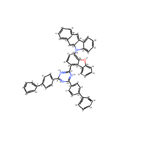 c1ccc(-c2ccc(-c3nc(-c4ccc(-c5ccccc5)cc4)nc(-c4ccc(-n5c6ccccc6c6cc7ccccc7cc65)c5oc6ccccc6c45)n3)cc2)cc1